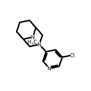 CN1C2CCCC1CN(c1cncc(Cl)c1)C2